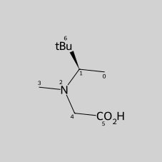 C[C@@H](N(C)CC(=O)O)C(C)(C)C